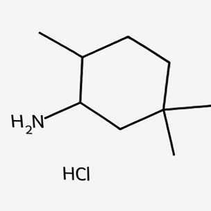 CC1CCC(C)(C)CC1N.Cl